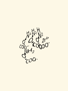 NOC(=O)[O-].NOC(=O)[O-].NOC(=O)[O-].NOC(=O)[O-].[Zr+4]